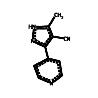 Cc1[nH]nc(-c2ccncc2)c1C#N